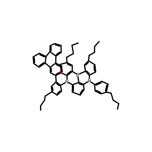 CCCCc1ccc(N2c3ccc(CCCC)cc3B3c4cc(CCCC)ccc4N(c4ccc(CCCC)cc4-c4ccc5c6ccccc6c6ccccc6c5c4)c4cccc2c43)cc1